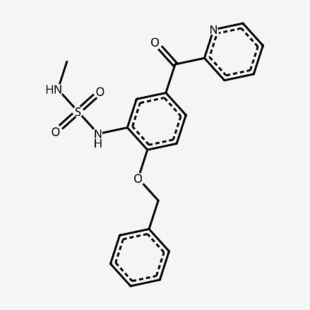 CNS(=O)(=O)Nc1cc(C(=O)c2ccccn2)ccc1OCc1ccccc1